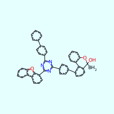 BC1(O)Oc2ccccc2-c2c(-c3ccc(-c4nc(-c5ccc(-c6ccccc6)cc5)nc(-c5cccc6c5oc5ccccc56)n4)cc3)cccc21